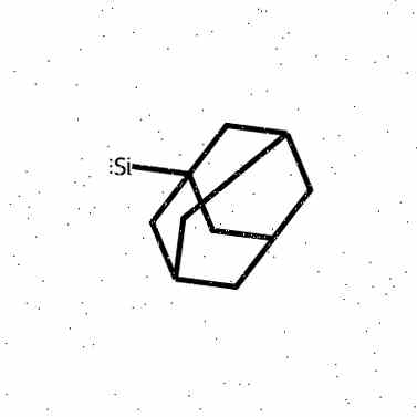 [Si]C12CC3CC(CC(C3)C1)C2